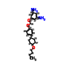 CCCCOC1CCC(c2ccc(OCOc3cc(N)cc(N)c3)cc2)CC1